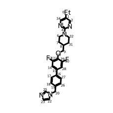 CCc1cnc(N2CCC(COc3c(F)cc(-c4ccc(Cn5ccnc5)cc4)cc3F)CC2)nc1